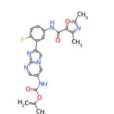 C=C(C)OC(=O)Nc1cnc2nc(-c3cc(NC(=O)c4oc(C)nc4C)ccc3F)cn2c1